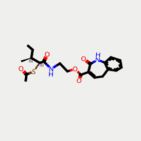 CC[C@H](C)[C@H](SC(C)=O)C(=O)NCCOC(=O)C1=CCc2ccccc2NC1=O